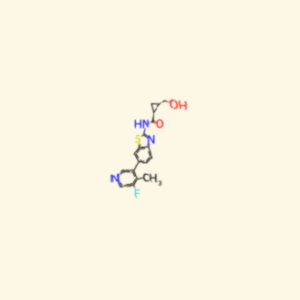 Cc1c(F)cncc1-c1ccc2nc(NC(=O)[C@H]3CC3CO)sc2c1